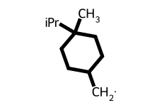 [CH2]C1CCC(C)(C(C)C)CC1